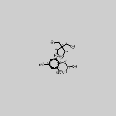 CC(C)(C)c1ccc(OP(O)O)c(C(C)(C)C)c1.OCC(CO)(CO)CO